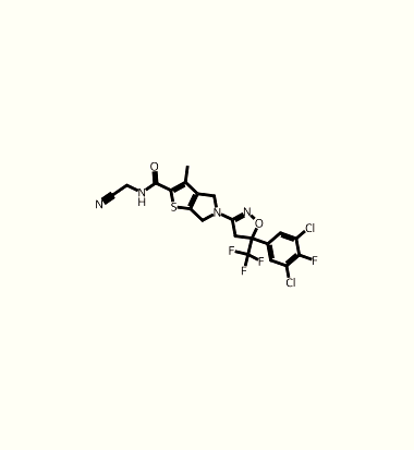 Cc1c(C(=O)NCC#N)sc2c1CN(C1=NOC(c3cc(Cl)c(F)c(Cl)c3)(C(F)(F)F)C1)C2